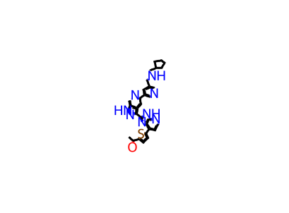 C=c1[nH]nc(-c2nc3c(-c4ccc(C(C)=O)s4)ccnc3[nH]2)/c1=C/C(=N\C)c1cncc(CNCC2CCCC2)c1